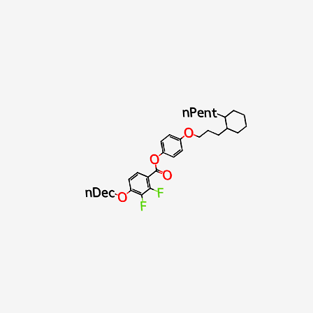 CCCCCCCCCCOc1ccc(C(=O)Oc2ccc(OCCCC3CCCCC3CCCCC)cc2)c(F)c1F